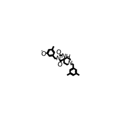 COc1cc(C)cc(CN2C(=O)NC3(CCN(Cc4cc(C)cc(C)c4)CC3)C2=O)c1